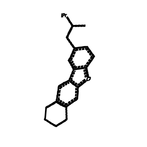 CC(C)C(C)Cc1ccc2oc3cc4c(cc3c2c1)CCCC4